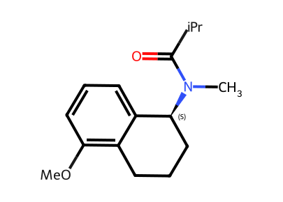 COc1cccc2c1CCC[C@@H]2N(C)C(=O)C(C)C